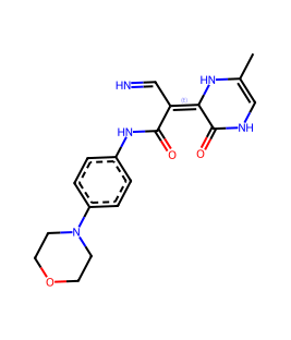 CC1=CNC(=O)/C(=C(/C=N)C(=O)Nc2ccc(N3CCOCC3)cc2)N1